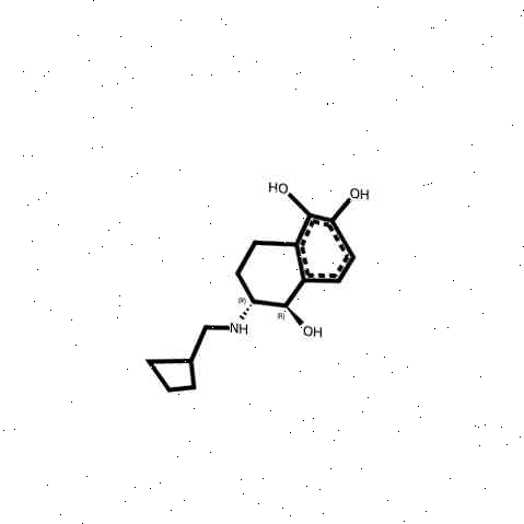 Oc1ccc2c(c1O)CC[C@@H](NCC1CCC1)[C@@H]2O